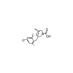 Cc1cc(Cl)cc(I)c1CC1CN(C(=O)O)C[C@H](C)O1